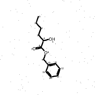 CCCCC(O)C(=O)OCc1ccccc1